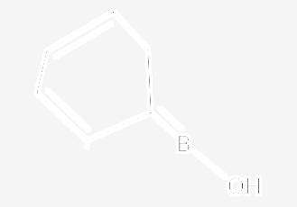 O/B=C1\[C]=CC=CC1